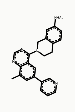 CC(=O)Nc1ccc2c(c1)CN(c1ncnc3c(C)cc(-c4cccnc4)cc13)CC2